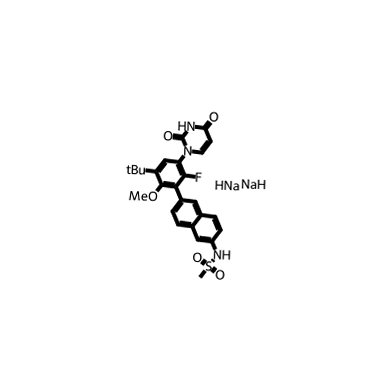 COc1c(C(C)(C)C)cc(-n2ccc(=O)[nH]c2=O)c(F)c1-c1ccc2cc(NS(C)(=O)=O)ccc2c1.[NaH].[NaH]